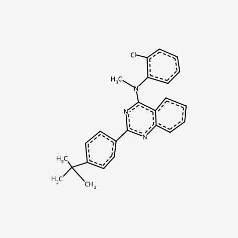 CN(c1ccccc1Cl)c1nc(-c2ccc(C(C)(C)C)cc2)nc2ccccc12